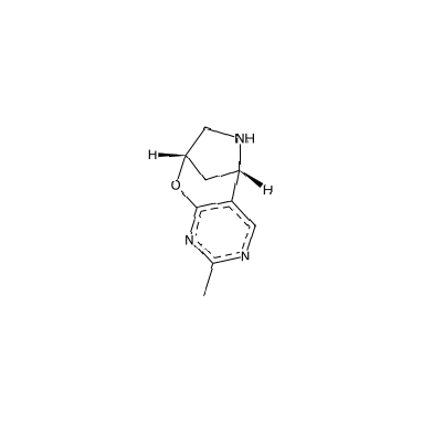 Cc1ncc2c(n1)O[C@@H]1CN[C@H]2C1